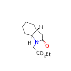 CCOC(=O)CN1C(=O)C[C@H]2CCCC[C@@H]21